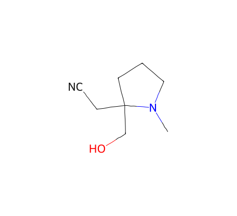 CN1CCCC1(CO)CC#N